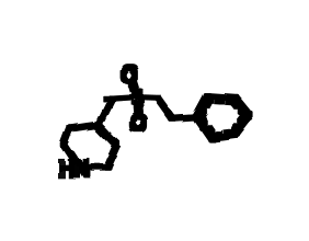 O=S(=O)([CH]C1CCNCC1)CCc1ccccc1